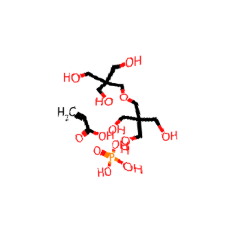 C=CC(=O)O.O=P(O)(O)O.OCC(CO)(CO)COCC(CO)(CO)CO